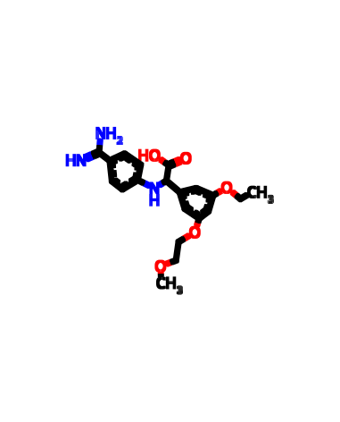 CCOc1cc(OCCOC)cc(C(Nc2ccc(C(=N)N)cc2)C(=O)O)c1